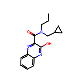 CCCN(CC1CC1)C(=O)c1nc2ccccc2nc1O